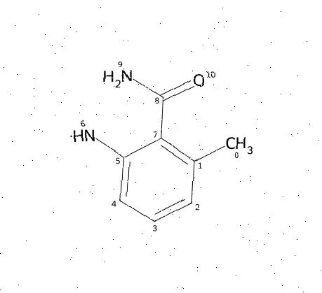 Cc1cccc([NH])c1C(N)=O